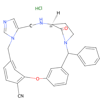 Cl.N#Cc1ccc2cc1Oc1cccc(c1)C(c1ccccc1)N1CC[C@H](NCc3cncn3C2)C1=O